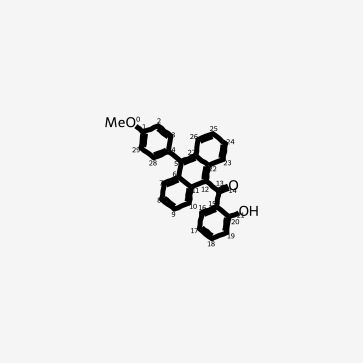 COc1ccc(-c2c3ccccc3c(C(=O)c3ccccc3O)c3ccccc23)cc1